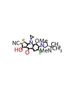 CNC(C)(C)[C@@H]1CCN(c2c(F)cc3c(=O)c4c(O)c(C#N)sc4n(C4CC4)c3c2OC)C1